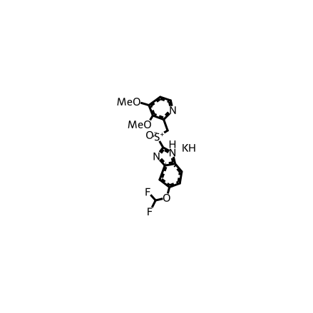 COc1ccnc(C[S+]([O-])c2nc3cc(OC(F)F)ccc3[nH]2)c1OC.[KH]